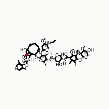 CCN[C@H]1CO[C@@H](O[C@H]2[C@H](O[C@H]3C#CC=CC#C[C@]4(O)CC(=O)C(NC(=O)OC)=C3/C4=C\CSSc3c(C)cncc3C)O[C@H](C)[C@@H](NO[C@H]3C[C@H](O)[C@H]([SH]=C(O)c4c(C)c(I)c(O[C@@H]5O[C@@H](C)[C@H](O)[C@@H](OC)[C@H]5O)c(OC)c4OC)[C@@H](C)O3)[C@@H]2O)C[C@@H]1OC